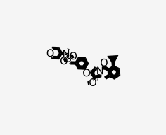 CO[C@@H]1CN(C(=O)c2c(C)cccc2C2CC2)C[C@H]1Oc1cccc(CS(=O)(=O)N(C)C2CCOCC2)c1